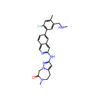 CNCc1cc(-c2ccc3cnc(Nc4cc5n(n4)CC(=O)N(C)CC5)cc3c2)c(F)cc1C